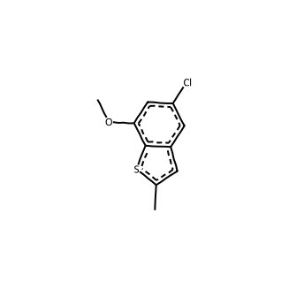 COc1cc(Cl)cc2cc(C)sc12